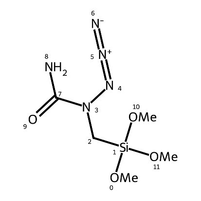 CO[Si](CN(N=[N+]=[N-])C(N)=O)(OC)OC